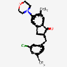 COc1cc2c(cc1N1CCOCC1)CC(Cc1cc(Cl)cc(C(F)(F)F)c1)C2=O